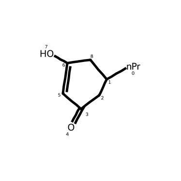 CCCC1CC(=O)C=C(O)C1